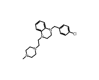 CN1CCN(CCN2CCN(Cc3ccc(Cl)cc3)c3ccccc32)CC1